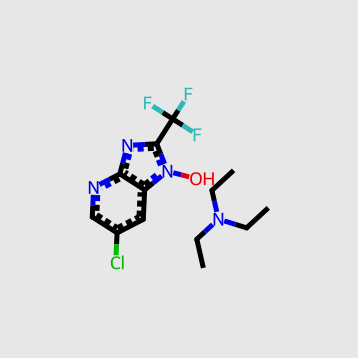 CCN(CC)CC.On1c(C(F)(F)F)nc2ncc(Cl)cc21